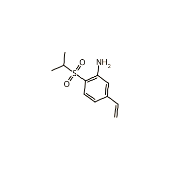 C=Cc1ccc(S(=O)(=O)C(C)C)c(N)c1